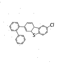 Clc1ccc2c(c1)C1C=CC(c3ccccc3-c3ccccc3)=CC1S2